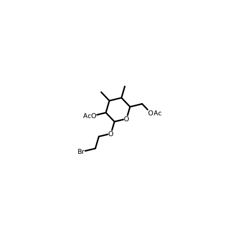 CC(=O)OCC1OC(OCCBr)C(OC(C)=O)C(C)C1C